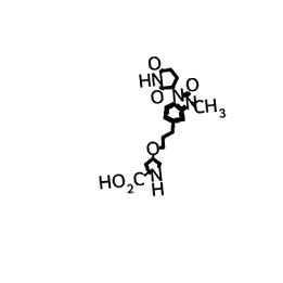 Cn1c(=O)n(C2CCC(=O)NC2=O)c2ccc(CCCO[C@H]3CN[C@@H](C(=O)O)C3)cc21